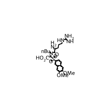 CCCCN(C(=O)[C@@H](N)CCCNC(=N)N)[C@H](C(=O)O)S(=O)(=O)c1ccc2cc(OC)c(OC)cc2c1